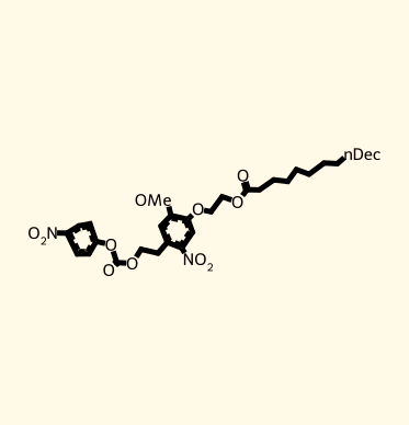 CCCCCCCCCCCCCCCCCC(=O)OCCOc1cc([N+](=O)[O-])c(CCOC(=O)Oc2ccc([N+](=O)[O-])cc2)cc1OC